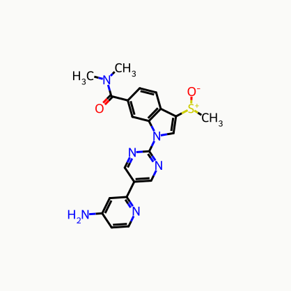 CN(C)C(=O)c1ccc2c([S+](C)[O-])cn(-c3ncc(-c4cc(N)ccn4)cn3)c2c1